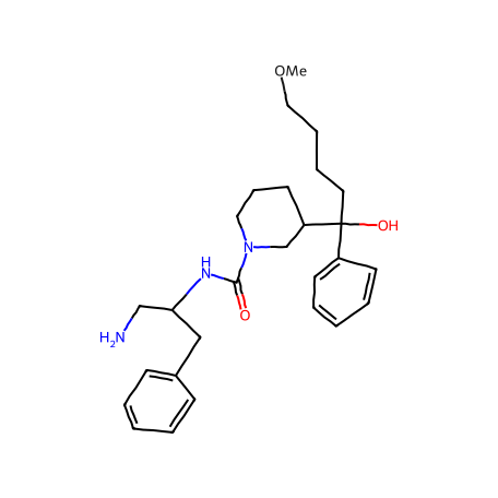 COCCCCC(O)(c1ccccc1)C1CCCN(C(=O)NC(CN)Cc2ccccc2)C1